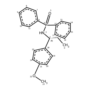 CC[C@@H](NP(=O)(c1ccccc1)c1ccccc1)c1ccc(OC)cc1